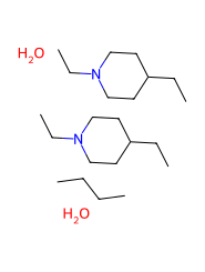 CCC1CCN(CC)CC1.CCC1CCN(CC)CC1.CCCC.O.O